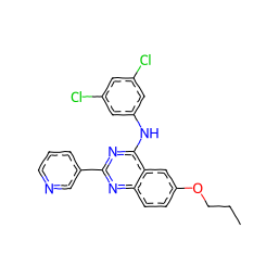 CCCOc1ccc2nc(-c3cccnc3)nc(Nc3cc(Cl)cc(Cl)c3)c2c1